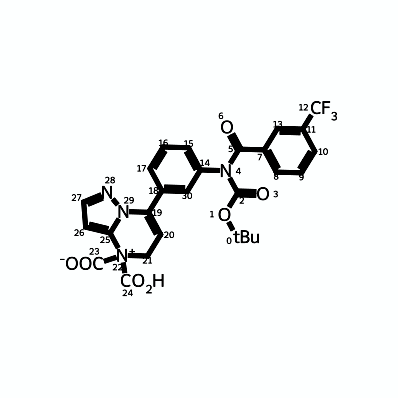 CC(C)(C)OC(=O)N(C(=O)c1cccc(C(F)(F)F)c1)c1cccc(C2=CC[N+](C(=O)[O-])(C(=O)O)c3ccnn32)c1